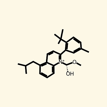 CO[C@H](O)[n+]1c(-c2cc(C)ccc2C(C)(C)C)ccc2c(CC(C)C)cccc21